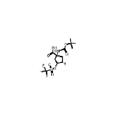 CC(C)(C)OC(=O)N[C@]1(C(=O)O)C[C@H](OS(=O)(=O)C(F)(F)F)[C@@H](F)C1